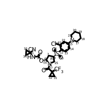 N#CC1(NC(=O)O[C@H]2C[C@@H](S(=O)(=O)c3ccc(N4CCCCC4)cc3Cl)CN2C(=O)C2(C(F)(F)F)CC2)CC1